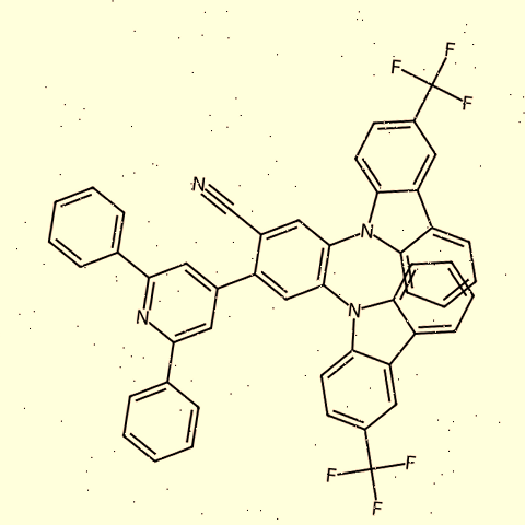 N#Cc1cc(-n2c3ccccc3c3cc(C(F)(F)F)ccc32)c(-n2c3ccccc3c3cc(C(F)(F)F)ccc32)cc1-c1cc(-c2ccccc2)nc(-c2ccccc2)c1